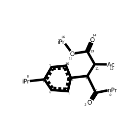 CCCC(=O)C(c1ccc(C(C)C)cc1)C(C(C)=O)C(=O)OC(C)C